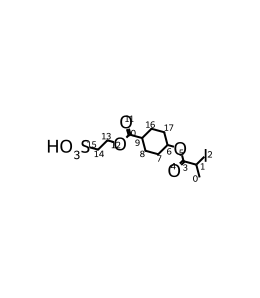 CC(I)C(=O)OC1CCC(C(=O)OCCS(=O)(=O)O)CC1